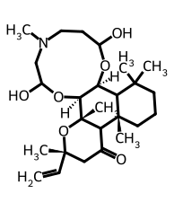 C=C[C@@]1(C)CC(=O)C2[C@@]3(C)CCCC(C)(C)C3[C@@H]3OC(O)CCN(C)CC(O)O[C@@H]3[C@@]2(C)O1